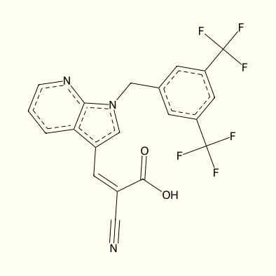 N#CC(=Cc1cn(Cc2cc(C(F)(F)F)cc(C(F)(F)F)c2)c2ncccc12)C(=O)O